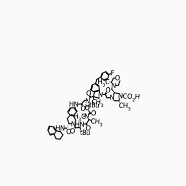 CC(C(=O)NC(C(=O)N1Cc2cc(NC(=O)CNC(=O)C3(C)CN(C(=O)CN4C[C@@H](C)N(C(=O)O)C[C@@H]4CN4CCOC[C@H]4C)c4cc(Cc5ccc(F)cc5)ccc43)ccc2C[C@H]1C(=O)N[C@@H]1CCCc2ccccc21)C(C)(C)C)N(C)C(=O)OC(C)(C)C